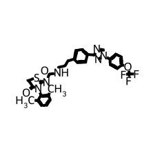 Cc1cccc(C)c1N1C(=O)CS/C1=N\C(=O)NCCCc1ccc(-c2ncn(-c3ccc(OC(F)(F)F)cc3)n2)cc1